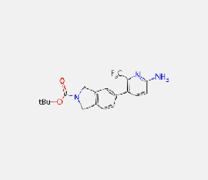 CC(C)(C)OC(=O)N1Cc2ccc(-c3ccc(N)nc3C(F)(F)F)cc2C1